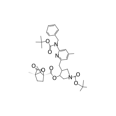 Cc1cc(CC2CN(C(=O)OC(C)(C)C)CC2OC(=O)[C@@]23CC[C@@](C)(C(=O)O2)C3(C)C)nc(N(Cc2ccccc2)C(=O)OC(C)(C)C)c1